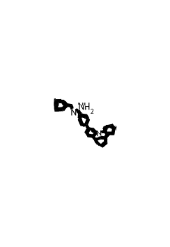 N/C(=N\Cc1ccccc1)c1ccc(-c2ccc3c(c2)-n2c4c(c5ccccc52)C=CCC34)cc1